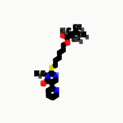 CC(C)C(C)(C)C(=O)OCCCCCCSc1ncc(-c2ccccn2)c(=O)n1C